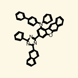 c1ccc(-c2ccc(N(c3ccccc3)c3cc(-c4nc(-c5ccccc5)nc(-c5ccc6ccccc6c5)n4)cc4oc5cc6ccccc6cc5c34)cc2)cc1